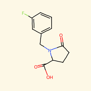 O=C(O)C1CCC(=O)N1Cc1cccc(F)c1